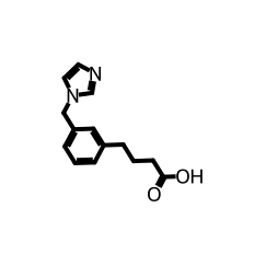 O=C(O)CCCc1cccc(Cn2ccnc2)c1